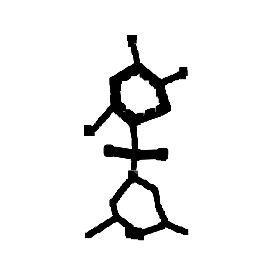 CC1CN(S(=O)(=O)c2cc(F)c(F)cc2Br)CC(C)N1